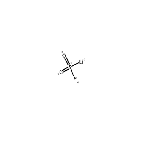 [Li][S](=O)(=O)F